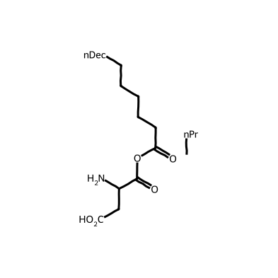 CCCC.CCCCCCCCCCCCCCCC(=O)OC(=O)C(N)CC(=O)O